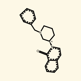 O=c1c2ccccc2ccn1[C@@H]1CCCN(Cc2ccccc2)C1